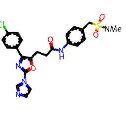 CNS(=O)(=O)Cc1ccc(NC(=O)CCc2oc(-n3ccnc3)nc2-c2ccc(Cl)cc2)cc1